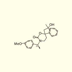 COc1ccc([C@H](C)N2CCC(CC(C)(C)O)(c3ccccc3)OC2=O)cc1